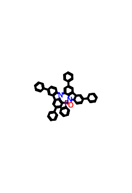 O=P1(c2ccccc2)c2cc(-c3ccccc3)cc3c4cc(-c5ccccc5)ccc4n(c23)-c2cc(-c3ccccc3)cc3c2N1C1C=CC(C2C=CC=CC2)=CC31